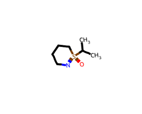 CC(C)S1(=O)=NCCCC1